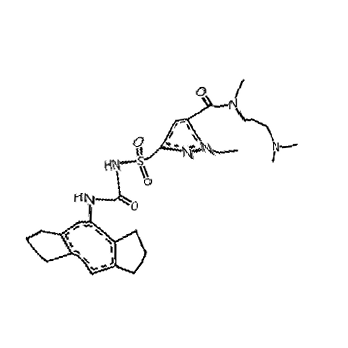 CN(C)CCN(C)C(=O)c1cc(S(=O)(=O)NC(=O)Nc2c3c(cc4c2CCC4)CCC3)nn1C